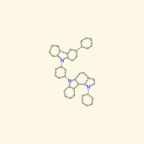 c1ccc(-c2ccc3c(c2)c2ccccc2n3-c2cccc(-n3c4ccccc4c4c5c(ccc43)ccn5-c3ccccc3)c2)cc1